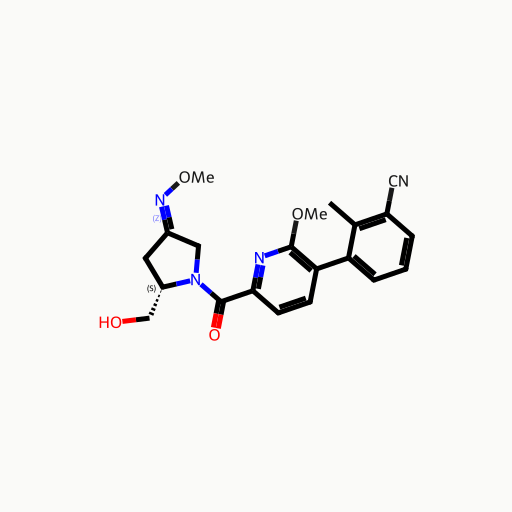 CO/N=C1/C[C@@H](CO)N(C(=O)c2ccc(-c3cccc(C#N)c3C)c(OC)n2)C1